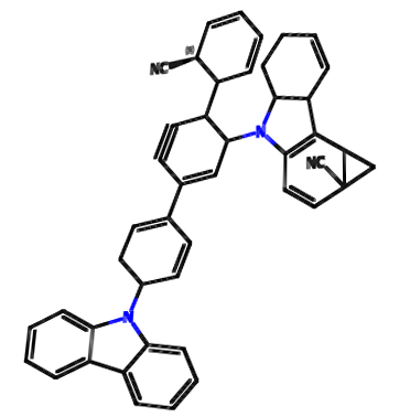 N#C[C@H]1C=CC=CC1C1C#CC(C2=CCC(n3c4ccccc4c4ccccc43)C=C2)=CC1N1C2=C(C3C=CCCC31)C1CC1(C#N)C=C2